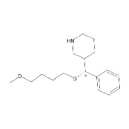 COCCCCO[C@@H](c1ccccc1)C1CCCNC1